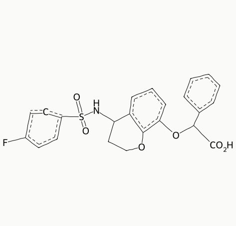 O=C(O)C(Oc1cccc2c1OCCC2NS(=O)(=O)c1ccc(F)cc1)c1ccccc1